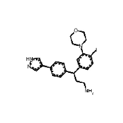 NCCC(c1ccc(-c2cn[nH]c2)cc1)c1ccc(I)c(N2CCOCC2)c1